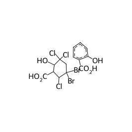 O=C(O)C1C(O)C(Cl)(Cl)CC(Br)(Br)C1Cl.O=C(O)c1ccccc1O